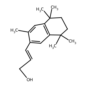 Cc1cc2c(cc1C=CCO)C(C)(C)CCC2(C)C